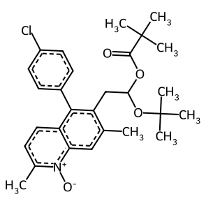 Cc1cc2c(ccc(C)[n+]2[O-])c(-c2ccc(Cl)cc2)c1CC(OC(=O)C(C)(C)C)OC(C)(C)C